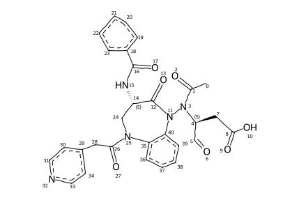 CC(=O)N([C@H](C=O)CC(=O)O)N1C(=O)[C@@H](NC(=O)c2ccccc2)CN(C(=O)Cc2ccncc2)c2ccccc21